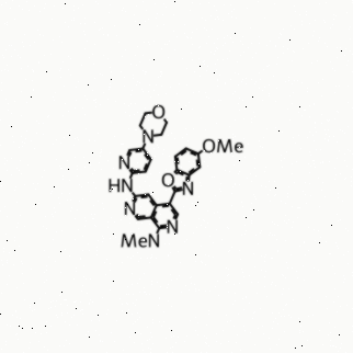 CNc1ncc(-c2nc3cc(OC)ccc3o2)c2cc(Nc3ccc(N4CCOCC4)cn3)ncc12